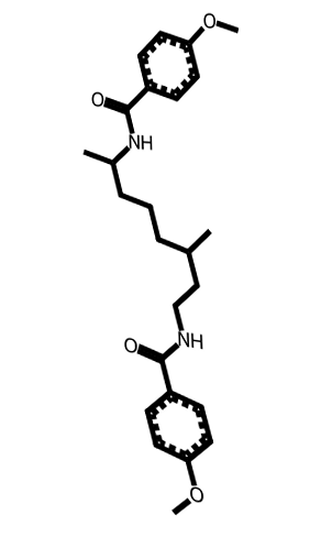 COc1ccc(C(=O)NCCC(C)CCCC(C)NC(=O)c2ccc(OC)cc2)cc1